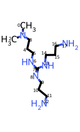 CN(C)CCCN/C(=N/CCCN)NCCCN